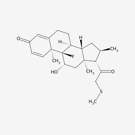 CSCC(=O)[C@H]1[C@H](C)C[C@H]2[C@@H]3CCC4=CC(=O)C=C[C@]4(C)[C@@]3(F)[C@@H](O)C[C@@]21C